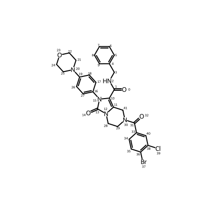 O=C(NCc1ccccc1)c1c2n(c(=O)n1-c1ccc(N3CCOCC3)cc1)CCN(C(=O)c1ccc(Br)c(Cl)c1)C2